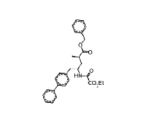 CCOC(=O)C(=O)N[C@H](Cc1ccc(-c2ccccc2)cc1)C[C@@H](C)C(=O)OCc1ccccc1